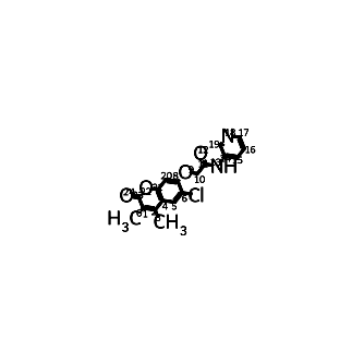 Cc1c(C)c2cc(Cl)c(OCC(=O)Nc3cccnc3)cc2oc1=O